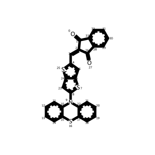 O=C1C(=Cc2cc3sc(N4c5ccccc5Sc5ccccc54)cc3s2)C(=O)c2ccccc21